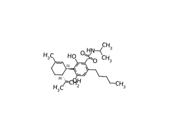 C=C(C)[C@@H]1CCC(C)=C[C@H]1c1c(O)cc(CCCCC)c(S(=O)(=O)NC(C)C)c1O